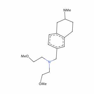 CNC1CCc2cc(CN(CCOC)CCOC)ccc2C1